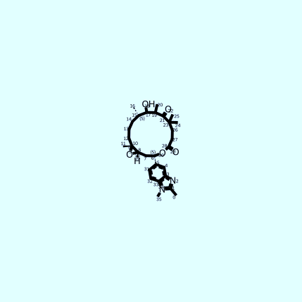 Cc1nc2cc([C@@H]3C[C@@H]4O[C@]4(C)CCC[C@H](C)C(O)C(C)C(=O)C(C)(C)CCC(=O)O3)ccc2n1C